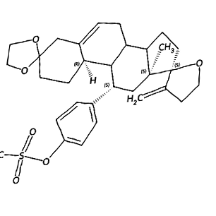 C=C1CCO[C@@]12CCC1C3CC=C4CC5(CC[C@@H]4C3[C@@H](c3ccc(OS(=O)(=O)C(F)(F)F)cc3)C[C@@]12C)OCCO5